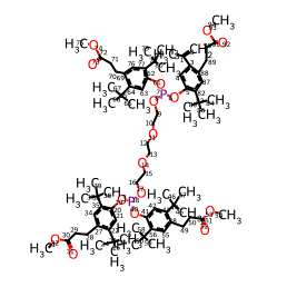 C=C(C)c1cc(OP(OCCOCCOCCOP(Oc2cc(C(C)(C)C)c(CCC(=O)OC)cc2C(C)(C)C)Oc2cc(C(C)(C)C)c(CCC(=O)OC)cc2C(C)(C)C)Oc2cc(C(C)(C)C)c(CCC(=O)OC)cc2C(C)(C)C)c(C(C)(C)C)cc1CCC(=O)OC